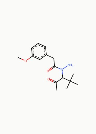 COc1cccc(CC(=O)N(N)C(C(C)=O)C(C)(C)C)c1